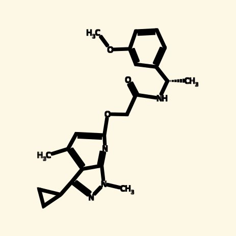 COc1cccc([C@H](C)NC(=O)COc2cc(C)c3c(C4CC4)nn(C)c3n2)c1